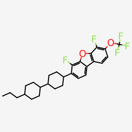 CCCC1CCC(C2CCC(c3ccc4c(oc5c(F)c(OC(F)(F)F)ccc54)c3F)CC2)CC1